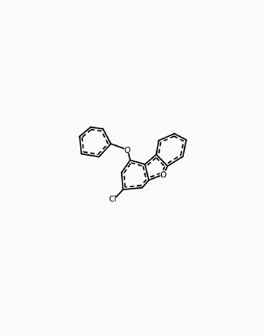 Clc1cc(Oc2ccccc2)c2c(c1)oc1ccccc12